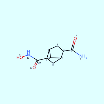 NC(=O)C1CC2CC1CC2C(=O)NO